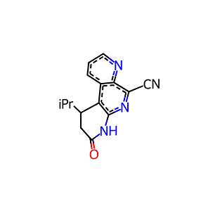 CC(C)C1CC(=O)Nc2nc(C#N)c3ncccc3c21